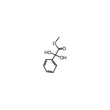 COC(=O)C(O)(O)c1ccccc1